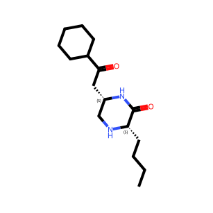 CCCC[C@@H]1NC[C@H](CC(=O)C2CCCCC2)NC1=O